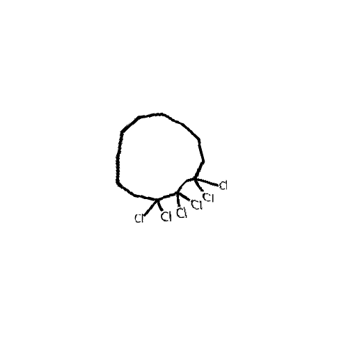 ClC1(Cl)CCCCCCCCCC(Cl)(Cl)C1(Cl)Cl